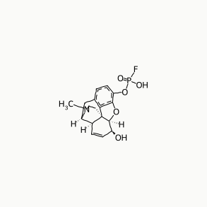 CN1CC[C@]23c4c5ccc(OP(=O)(O)F)c4O[C@H]2[C@@H](O)C=C[C@H]3[C@H]1C5